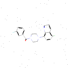 O=C(c1cccc(F)c1)N1CCN(c2[c]cc(Cl)c3cccnc23)CC1